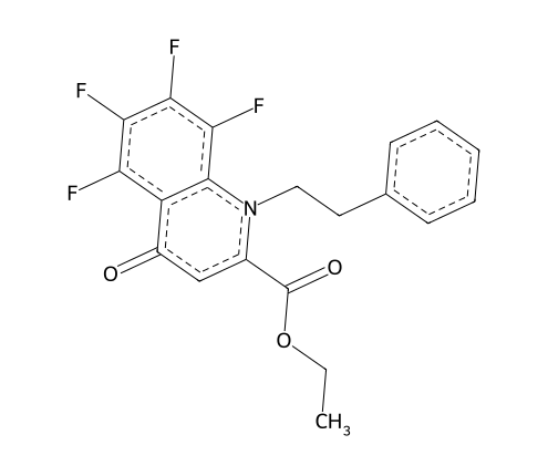 CCOC(=O)c1cc(=O)c2c(F)c(F)c(F)c(F)c2n1CCc1ccccc1